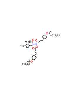 CCOC(=O)CC(C)Oc1ccc(CCCC(=O)N(OC(=O)CCCc2ccc(OC(C)(C)C(=O)OCC)cc2)N(Cc2ccc(C(C)(C)C)cc2)C(=O)NC)cc1